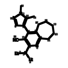 CCN(CC)c1nc2c(c(-c3cnn(C)c3C)c1C#N)CCCCC2